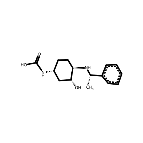 C[C@H](N[C@@H]1CC[C@@H](NC(=O)O)C[C@H]1O)c1ccccc1